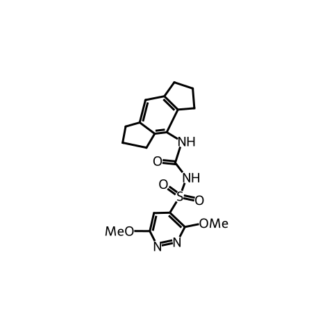 COc1cc(S(=O)(=O)NC(=O)Nc2c3c(cc4c2CCC4)CCC3)c(OC)nn1